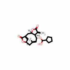 C=C1C(=O)O[C@H]2CC3=C[C@@H](C/C(C)=C/[C@@H](OC(O)C4CCCC4)[C@H]12)OC3=O